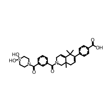 CC12CC=C(c3ccc(C(=O)O)cc3)C(C)(C)C1=CCN(C(=O)c1cccc(C(=O)N3CCS(O)(O)CC3)c1)C2